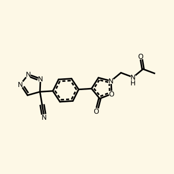 CC(=O)NCn1cc(-c2ccc(C3(C#N)C=NN=N3)cc2)c(=O)o1